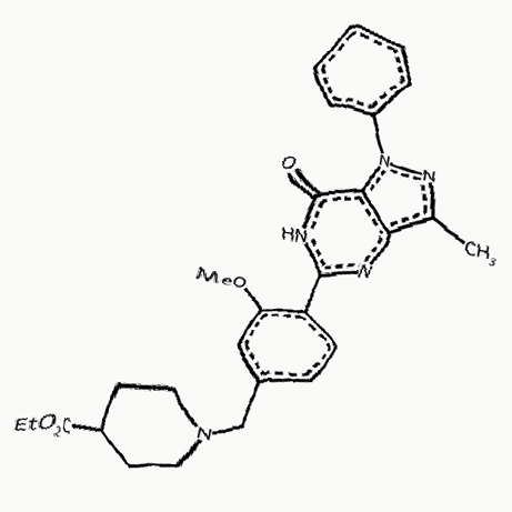 CCOC(=O)C1CCN(Cc2ccc(-c3nc4c(C)nn(-c5ccccc5)c4c(=O)[nH]3)c(OC)c2)CC1